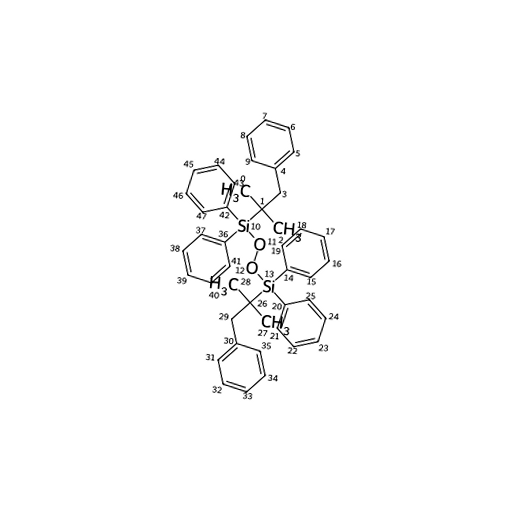 CC(C)(Cc1ccccc1)[Si](OO[Si](c1ccccc1)(c1ccccc1)C(C)(C)Cc1ccccc1)(c1ccccc1)c1ccccc1